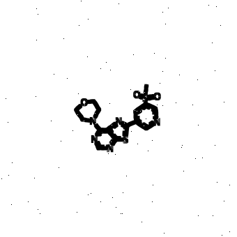 CS(=O)(=O)c1cncc(-c2nc3c(N4CCOCC4)ncnc3s2)c1